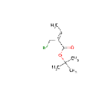 CC=C(CBr)C(=O)OC(C)(C)C